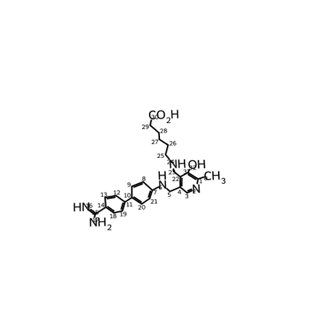 Cc1ncc(CNc2ccc(-c3ccc(C(=N)N)cc3)cc2)c(CNCCCCCC(=O)O)c1O